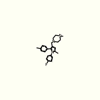 Cc1ccc(-c2c(CN3CC[Si](C)(C)CC3)cc(C)n2-c2ccc(F)cc2)cc1